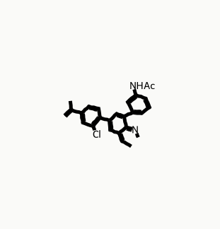 C=C(C)c1ccc(C2=CC(=C/C)/C(=N\C)C(c3cccc(NC(C)=O)c3)=C2)c(Cl)c1